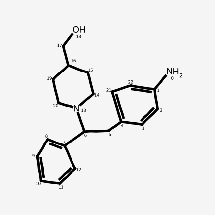 Nc1ccc(CC(c2ccccc2)N2CCC(CO)CC2)cc1